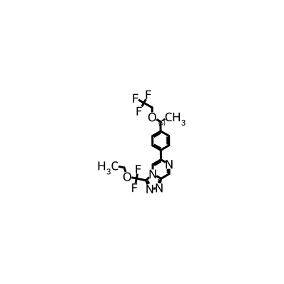 CCOC(F)(F)c1nnc2cnc(-c3ccc([C@H](C)OCC(F)(F)F)cc3)cn12